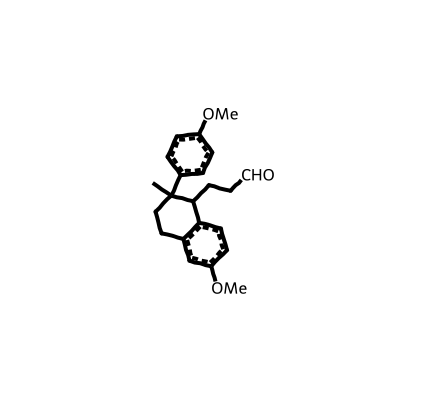 COc1ccc(C2(C)CCc3cc(OC)ccc3C2CCC=O)cc1